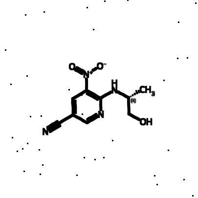 C[C@H](CO)Nc1ncc(C#N)cc1[N+](=O)[O-]